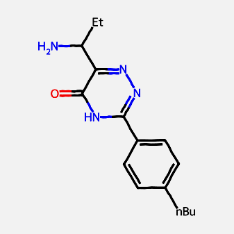 CCCCc1ccc(-c2nnc(C(N)CC)c(=O)[nH]2)cc1